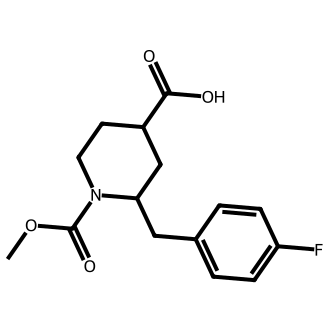 COC(=O)N1CCC(C(=O)O)CC1Cc1ccc(F)cc1